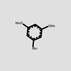 COc1cc(SC)cc(C(C)(C)C)c1